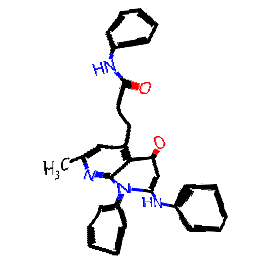 Cc1cc(CCC(=O)Nc2ccccc2)c2c(=O)cc(Nc3ccccc3)n(-c3ccccc3)c2n1